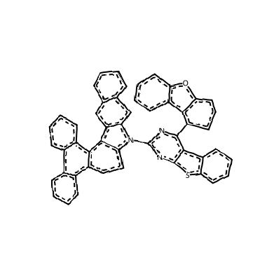 c1ccc2cc3c(cc2c1)c1c2c4ccccc4c4ccccc4c2ccc1n3-c1nc(-c2cccc3oc4ccccc4c23)c2c(n1)sc1ccccc12